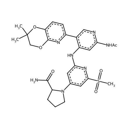 CC(=O)Nc1cc(Nc2cc(N3CCCC3C(N)=O)cc(S(C)(=O)=O)n2)c(-c2ccc3c(n2)OCC(C)(C)O3)cn1